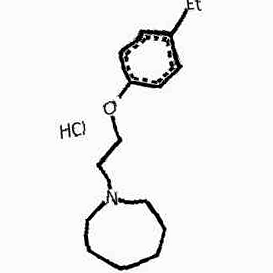 CCc1ccc(OCCN2CCCCCC2)cc1.Cl